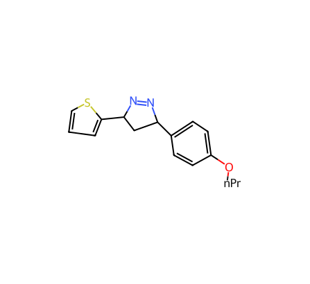 CCCOc1ccc(C2CC(c3cccs3)N=N2)cc1